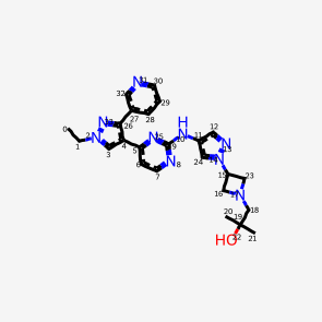 CCn1cc(-c2ccnc(Nc3cnn(C4CN(CC(C)(C)O)C4)c3)n2)c(-c2cccnc2)n1